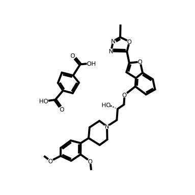 COc1ccc(C2CCN(C[C@H](O)COc3cccc4oc(-c5nnc(C)o5)cc34)CC2)c(OC)c1.O=C(O)c1ccc(C(=O)O)cc1